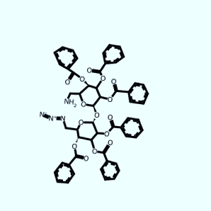 [N-]=[N+]=NCC1O[C@H](O[C@H]2OC(CN)[C@@H](OC(=O)c3ccccc3)C(OC(=O)c3ccccc3)C2OC(=O)c2ccccc2)C(OC(=O)c2ccccc2)C(OC(=O)c2ccccc2)[C@@H]1OC(=O)c1ccccc1